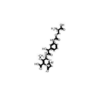 COC1=C(C(=O)O)N2C(=O)C[C@@H]2SC1NC(=O)C(O)c1cccc(NC(=O)OC[C@@H](N)C(=O)O)c1